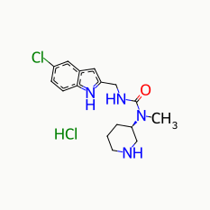 CN(C(=O)NCc1cc2cc(Cl)ccc2[nH]1)[C@@H]1CCCNC1.Cl